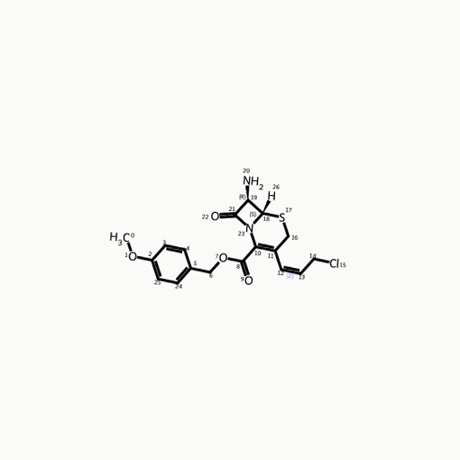 COc1ccc(COC(=O)C2=C(/C=C\CCl)CS[C@H]3[C@H](N)C(=O)N23)cc1